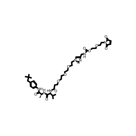 CC(C)[C@H](NC(=O)CCOCCOCCOCCn1cc(CNC(=O)OCCOCCN2C(=O)C=CC2=O)nn1)C(=O)N[C@@H](C)C(=O)Nc1ccc(CC(C)(C)C)cc1